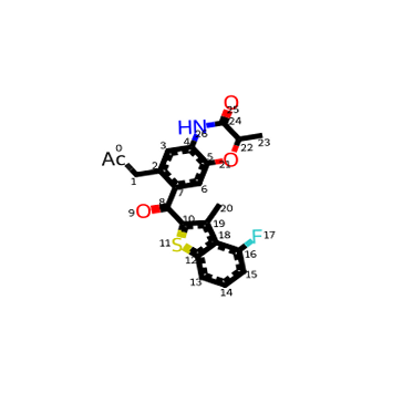 CC(=O)Cc1cc2c(cc1C(=O)c1sc3cccc(F)c3c1C)OC(C)C(=O)N2